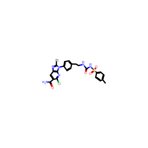 CCc1nc2cc(C(N)=O)c(Cl)nc2n1-c1ccc(CCNC(=O)NS(=O)(=O)c2ccc(C)cc2)cc1